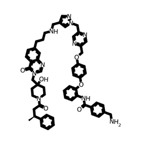 C[C@@H](CC(=O)N1CCC(O)(Cn2cnc3cc(CCCNCc4cnn(Cc5cnc(COc6ccc(Oc7ccccc7NC(=O)c7ccc(CN)cc7)cc6)cn5)c4)ccc3c2=O)CC1)c1ccccc1